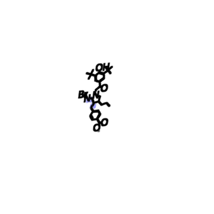 CCCC1CN(CC(=O)c2cc(C(C)(C)C)c(O)c(C(C)(C)C)c2)C(=N\Br)/C1=C/c1ccc(C(=O)OC)cc1